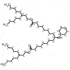 CCCCCC(CCCCC)CCOC(=O)CCCCCCCC(CCCCCCCC(=O)OCCC(CCCCC)CCCCC)NC1CCOCC1